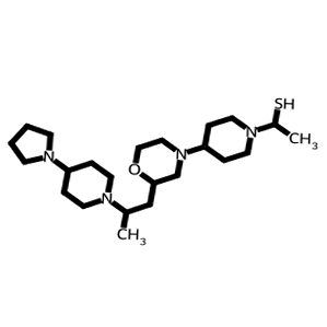 CC(S)N1CCC(N2CCOC(CC(C)N3CCC(N4CCCC4)CC3)C2)CC1